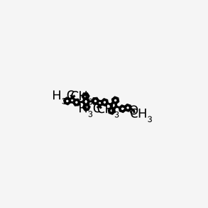 COc1ccc2cc(-c3c4ccccc4c(-c4ccc5c(c4)C(C)(C)c4cc(-c6c7ccccc7c(-c7ccc8c(c7)C(C)(C)c7ccccc7-8)c7ccccc67)ccc4-5)c4ccccc34)ccc2c1